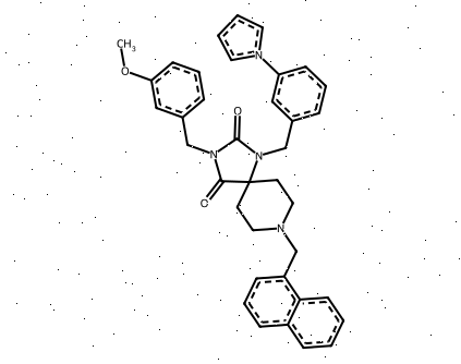 COc1cccc(CN2C(=O)N(Cc3cccc(-n4cccc4)c3)C3(CCN(Cc4cccc5ccccc45)CC3)C2=O)c1